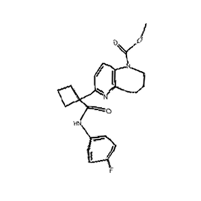 COC(=O)N1CCCc2nc(C3(C(=O)Nc4ccc(F)cc4)CCC3)ccc21